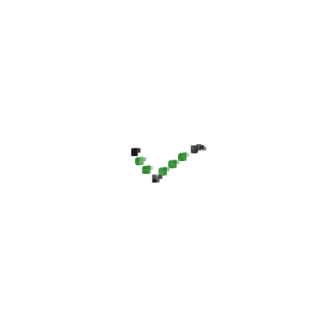 [Cl-].[Cl-].[Cl-].[Cl-].[Cl-].[K+].[Li+].[U+3]